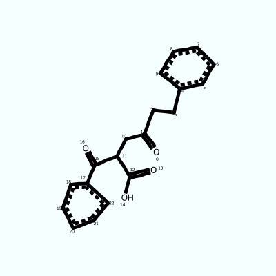 O=C(CCc1ccccc1)CC(C(=O)O)C(=O)c1ccccc1